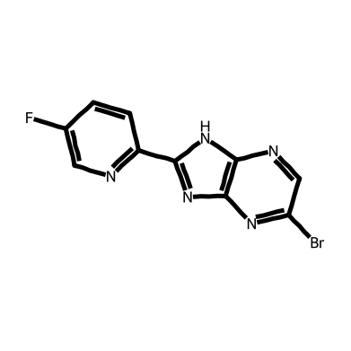 Fc1ccc(-c2nc3nc(Br)cnc3[nH]2)nc1